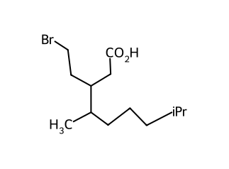 CC(C)CCCC(C)C(CCBr)CC(=O)O